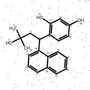 CC(C)(O)CC(c1ccc(O)cc1O)c1cccc2ccccc12